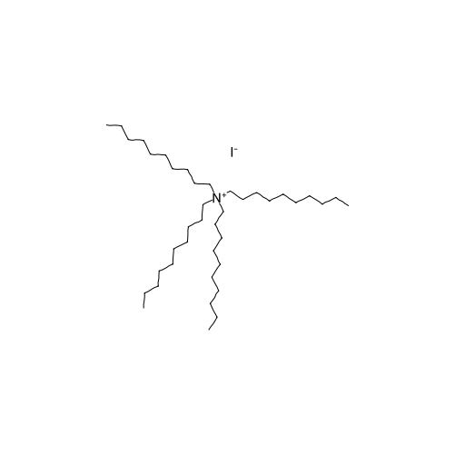 CCCCCCCCCC[N+](CCCCCCCCCC)(CCCCCCCCCC)CCCCCCCCCC.[I-]